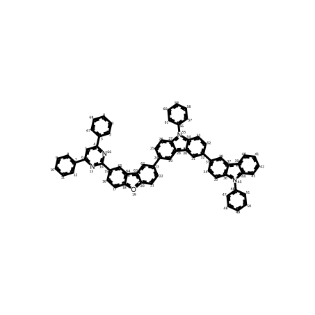 c1ccc(-c2cc(-c3ccccc3)nc(-c3ccc4oc5ccc(-c6ccc7c(c6)c6cc(-c8ccc9c(c8)c8ccccc8n9-c8ccccc8)ccc6n7-c6ccccc6)cc5c4c3)n2)cc1